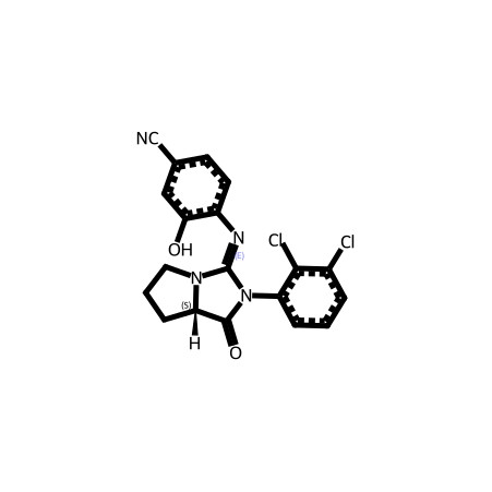 N#Cc1ccc(/N=C2/N(c3cccc(Cl)c3Cl)C(=O)[C@@H]3CCCN23)c(O)c1